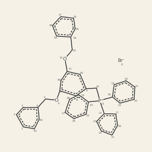 [Br-].c1ccc(COc2cc(C[P+](c3ccccc3)(c3ccccc3)c3ccccc3)cc(OCc3ccccc3)c2)cc1